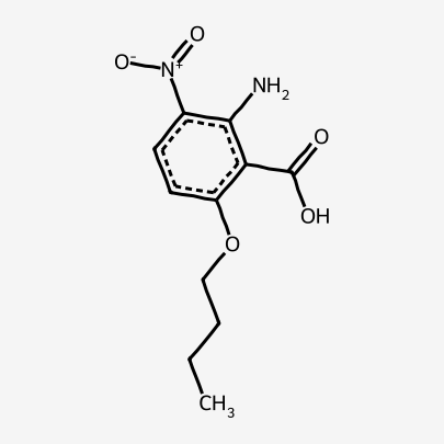 CCCCOc1ccc([N+](=O)[O-])c(N)c1C(=O)O